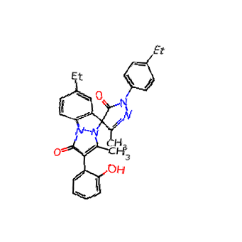 CCc1ccc(N2N=C(C)C3(C2=O)c2cc(CC)ccc2-n2c(=O)c(-c4ccccc4O)c(C)n23)cc1